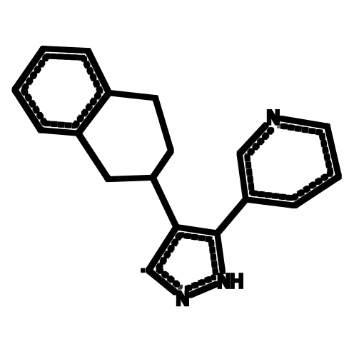 [c]1n[nH]c(-c2cccnc2)c1C1CCc2ccccc2C1